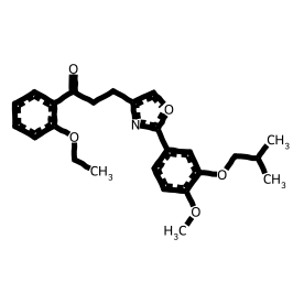 CCOc1ccccc1C(=O)CCc1coc(-c2ccc(OC)c(OCC(C)C)c2)n1